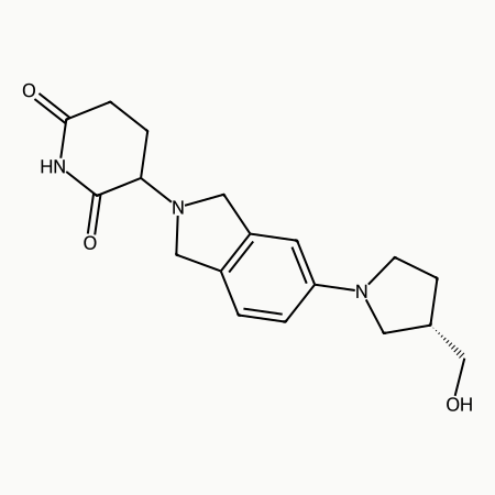 O=C1CCC(N2Cc3ccc(N4CC[C@H](CO)C4)cc3C2)C(=O)N1